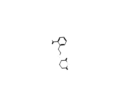 O=C1CC[C@H](NCCc2ccccc2C(=O)O)C(=O)N1